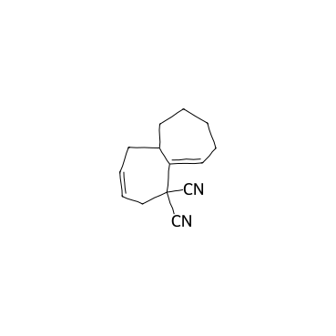 N#CC1(C#N)CC=CCC2CCCCC=C21